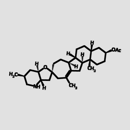 CC(=O)O[C@H]1CC[C@@]2(C)[C@H](CC[C@H]3[C@@H]4CC[C@]5(CC(C)=C4C[C@@H]32)C[C@@H]2NC[C@@H](C)C[C@H]2O5)C1